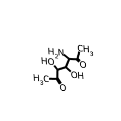 CC(=O)C(N)C(O)C(O)C(C)=O